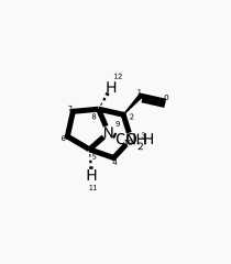 C=C[C@H]1NC[C@H]2CC[C@@H]1N2C(=O)O